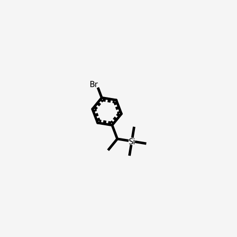 CC(c1ccc(Br)cc1)[Si](C)(C)C